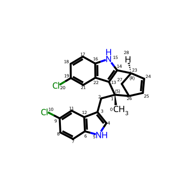 C[C@@]1(Cc2c[nH]c3ccc(Cl)cc23)c2c([nH]c3ccc(Cl)cc23)[C@H]2C=CC1C2